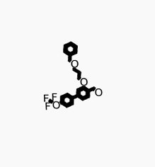 O=Cc1ccc(-c2ccc(OC(F)(F)F)cc2)cc1OCCCOCc1ccccc1